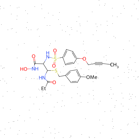 CC#CCOc1ccc(S(=O)(=O)NC(C(=O)NO)C(NC(=O)CC)SCc2ccc(OC)cc2)cc1